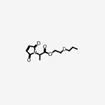 CCCOCCOC(=O)C(C)N1C(=O)C=CC1=O